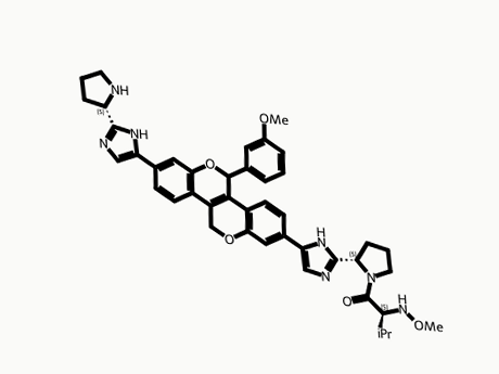 CON[C@H](C(=O)N1CCC[C@H]1c1ncc(-c2ccc3c(c2)OCC2=C3C(c3cccc(OC)c3)Oc3cc(-c4cnc([C@@H]5CCCN5)[nH]4)ccc32)[nH]1)C(C)C